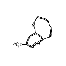 O=C(O)c1ccc2c(c1)NC=CN=C2